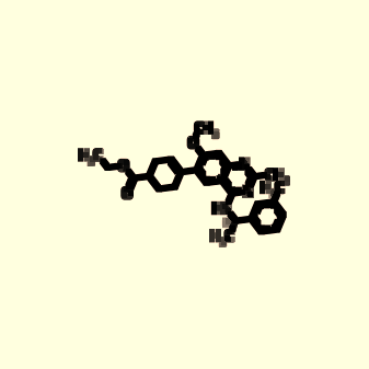 CCOC(=O)C1CC=C(c2cc3c(N[C@H](C)c4cccc(C)c4)nc(C)nc3cc2OC)CC1